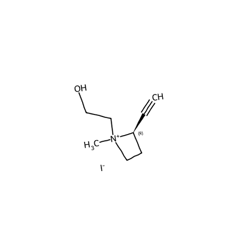 C#C[C@H]1CC[N+]1(C)CCO.[I-]